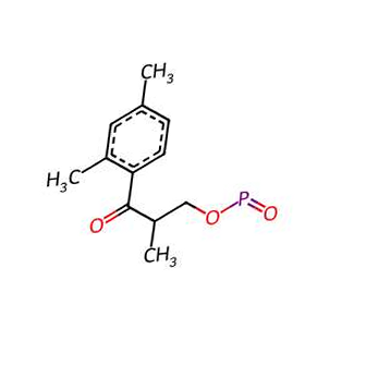 Cc1ccc(C(=O)C(C)COP=O)c(C)c1